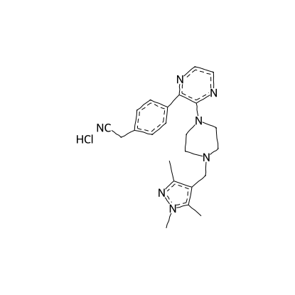 Cc1nn(C)c(C)c1CN1CCN(c2nccnc2-c2ccc(CC#N)cc2)CC1.Cl